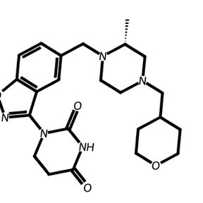 C[C@@H]1CN(CC2CCOCC2)CCN1Cc1ccc2onc(N3CCC(=O)NC3=O)c2c1